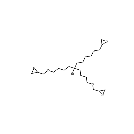 CCC(CCCCOCC1CO1)(CCCCOCC1CO1)CCCCOCC1CO1